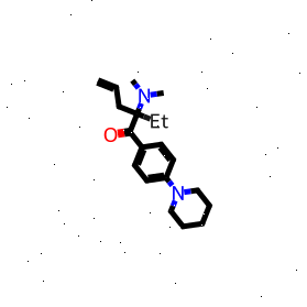 C=CCC(CC)(C(=O)c1ccc(N2CCCCC2)cc1)N(C)C